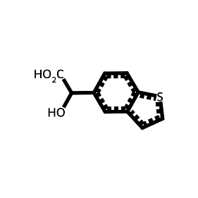 O=C(O)C(O)c1ccc2sccc2c1